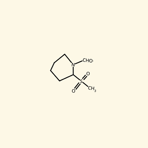 CS(=O)(=O)C1CCCCN1[C]=O